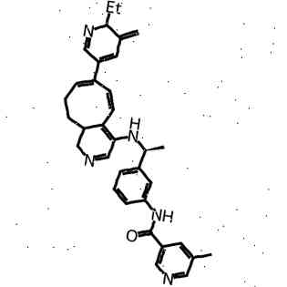 C=C1C=C(C2=C/CCC3CN=CC(N[C@@H](C)c4cccc(NC(=O)c5cncc(C)c5)c4)=C3/C=C\2)C=NC1CC